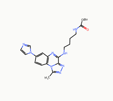 Cc1nnc2c(NCCCCNC(=O)OCC(C)C)nc3cc(-n4ccnc4)ccc3n12